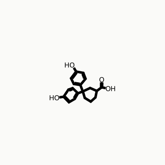 O=C(O)C1CCCC(c2ccc(O)cc2)(c2ccc(O)cc2)C1